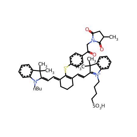 CCCCN1/C(=C/C=C2\CCCC(/C=C/C3=[N+](CCCCS(=O)(=O)O)c4ccccc4C3(C)C)=C2Sc2ccc(C(=O)CN3C(=O)CC(C)C3=O)cc2)C(C)(C)c2ccccc21